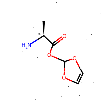 C[C@H](N)C(=O)OC1OC=CO1